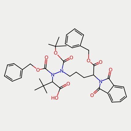 CC(C)(C)OC(=O)N(CCCC(C(=O)OCc1ccccc1)N1C(=O)c2ccccc2C1=O)N(C(=O)OCc1ccccc1)C(C(=O)O)C(C)(C)C